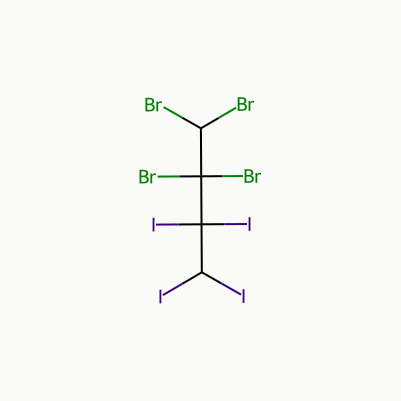 BrC(Br)C(Br)(Br)C(I)(I)C(I)I